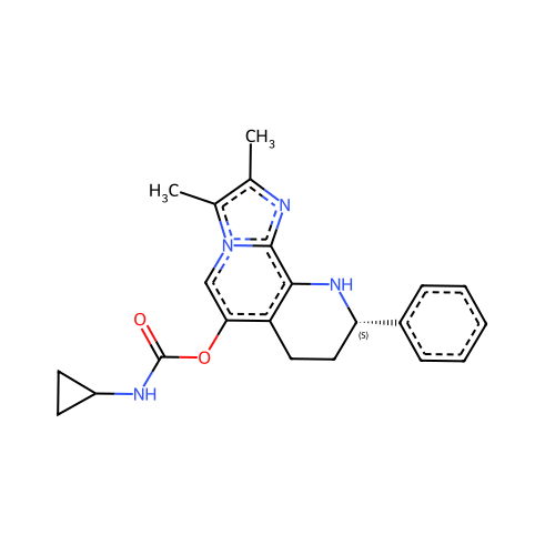 Cc1nc2c3c(c(OC(=O)NC4CC4)cn2c1C)CC[C@@H](c1ccccc1)N3